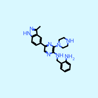 Cc1n[nH]c2ccc(-c3cnc(NCc4ccccc4N)c(N4CCNCC4)n3)cc12